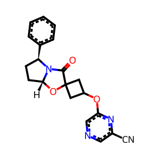 N#Cc1cncc(OC2CC3(C2)O[C@@H]2CC[C@@H](c4ccccc4)N2C3=O)n1